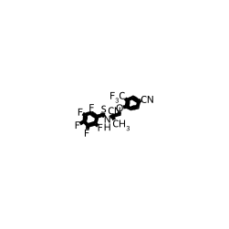 C[C@@](C#N)(COc1ccc(C#N)cc1C(F)(F)F)NC(=S)c1c(F)c(F)c(F)c(F)c1F